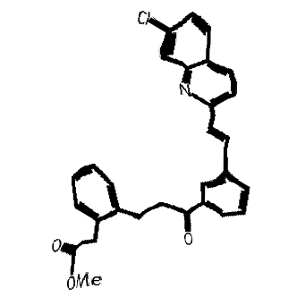 COC(=O)Cc1ccccc1CCC(=O)c1cccc(/C=C/c2ccc3ccc(Cl)cc3n2)c1